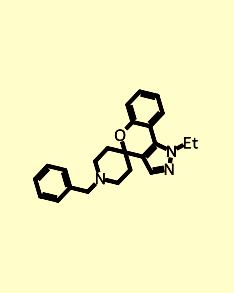 CCn1ncc2c1-c1ccccc1OC21CCN(Cc2ccccc2)CC1